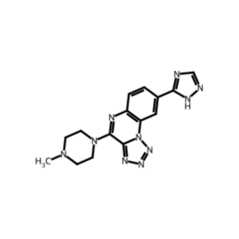 CN1CCN(c2nc3ccc(-c4ncn[nH]4)cc3n3nnnc23)CC1